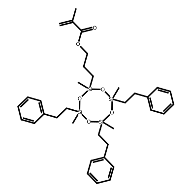 C=C(C)C(=O)OCCC[Si]1(C)O[Si](C)(CCc2ccccc2)O[Si](C)(CCc2ccccc2)O[Si](C)(CCc2ccccc2)O1